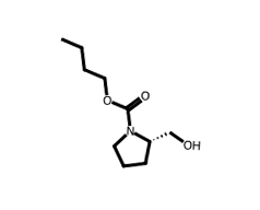 CCCCOC(=O)N1CCC[C@H]1CO